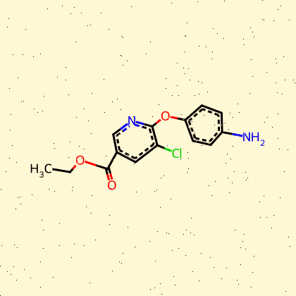 CCOC(=O)c1cnc(Oc2ccc(N)cc2)c(Cl)c1